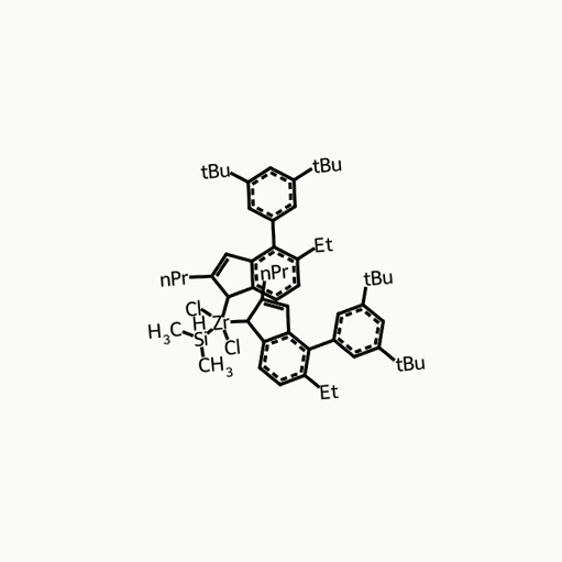 CCCC1=Cc2c(ccc(CC)c2-c2cc(C(C)(C)C)cc(C(C)(C)C)c2)[CH]1[Zr]([Cl])([Cl])([CH]1C(CCC)=Cc2c1ccc(CC)c2-c1cc(C(C)(C)C)cc(C(C)(C)C)c1)[SiH](C)C